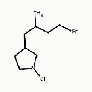 CC(C)CCC(C)CC1CCN(Cl)C1